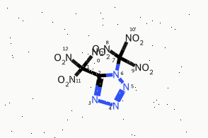 O=[N+]([O-])C(c1nnnn1C([N+](=O)[O-])([N+](=O)[O-])[N+](=O)[O-])([N+](=O)[O-])[N+](=O)[O-]